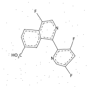 O=C(O)c1ccc2c(F)cnc(-c3ncc(F)cc3F)c2c1